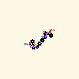 CC(C)(C)OC(=O)N[C@@H](C(=O)N1CCOC[C@H]1c1ncc(-c2cc(F)c(N3CCC(c4cnc([C@@H]5CCCN5C(=O)[C@H](NC(=O)OC(C)(C)C)c5ccccc5)[nH]4)CC3)c(F)c2)[nH]1)c1ccccc1